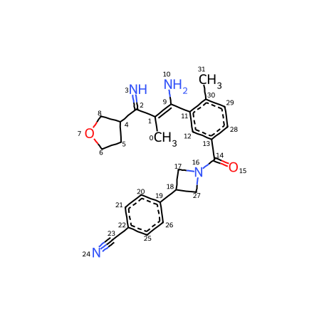 C/C(C(=N)C1CCOC1)=C(/N)c1cc(C(=O)N2CC(c3ccc(C#N)cc3)C2)ccc1C